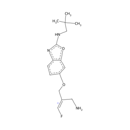 CC(C)(C)CNc1nc2ccc(OC/C(=C/F)CN)cc2o1